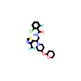 O=C(NCC(c1scnc1C(F)F)N1CCC(OC2CCCCO2)CC1)c1c(F)cccc1Cl